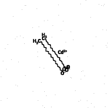 CCCCCCCCCCCCCCCCCCCC(=O)[O-].CCCCCCCCCCCCCCCCCCCC(=O)[O-].[Cd+2]